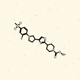 CC(C)OC(=O)N1CCC(c2nc(C3CCN(c4ccc(S(C)(=O)=O)cc4F)C3)co2)CC1